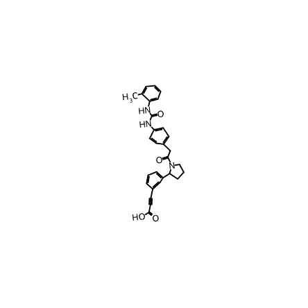 Cc1ccccc1NC(=O)Nc1ccc(CC(=O)N2CCCC2c2cccc(C#CC(=O)O)c2)cc1